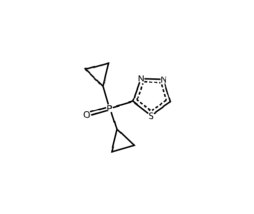 O=P(c1nncs1)(C1CC1)C1CC1